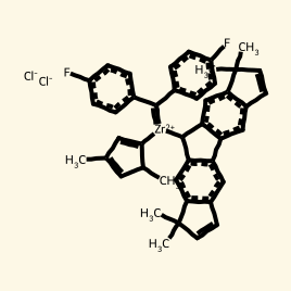 CC1=CC(C)[C]([Zr+2](=[C](c2ccc(F)cc2)c2ccc(F)cc2)[CH]2c3cc4c(cc3-c3cc5c(cc32)C(C)(C)C=C5)C=CC4(C)C)=C1.[Cl-].[Cl-]